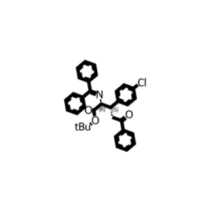 CC(C)(C)OC(=O)[C@H](N=C(c1ccccc1)c1ccccc1)[C@@H](CC(=O)c1ccccc1)c1ccc(Cl)cc1